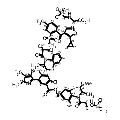 CC(C)OC(=O)c1cc(-c2nn(C)c(C(F)(F)F)c2Br)c(F)cc1Cl.CC1COc2ccccc2N1C(=O)C(Cl)Cl.CCc1cccc(C)c1N(C(=O)CCl)C(C)COC.CS(=O)(=O)c1cc(C(F)(F)F)ccc1C(=O)c1cnoc1C1CC1.C[S+](C)C.O=C(O)CNCP(=O)([O-])O